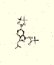 CC(C)Cn1nc(NC(=O)C(C)(C)C)c2cc(B3OC(C)(C)C(C)(C)O3)cnc21